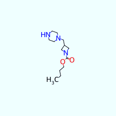 CCCCOC(=O)N1CC(CN2CCNCC2)C1